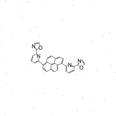 c1cc(-c2ncco2)nc(-c2ccc3ccc4c(-c5cccc(-c6ncco6)n5)ccc5ccc2c3c54)c1